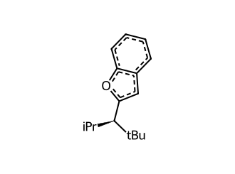 CC(C)[C@@H](c1cc2ccccc2o1)C(C)(C)C